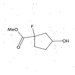 COC(=O)C1(F)CCC(O)C1